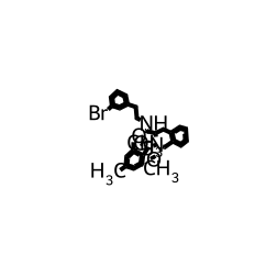 Cc1cc(C)c(S(=O)(=O)N2Cc3ccccc3CC2C(=O)NCCc2cccc(Br)c2)c(C)c1